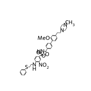 COc1cc(CCN2CCN(C)CC2)ccc1-c1ccc(C(=O)NS(=O)(=O)c2ccc(NCCSc3ccccc3)c([N+](=O)[O-])c2)cc1